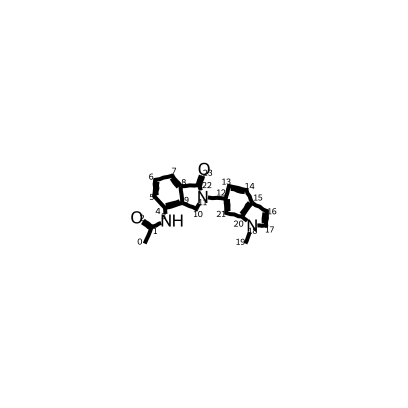 CC(=O)Nc1cccc2c1CN(c1ccc3ccn(C)c3c1)C2=O